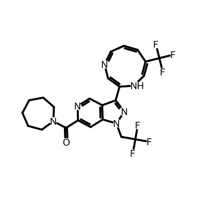 O=C(c1cc2c(cn1)c(-c1cncccc(C(F)(F)F)c[nH]1)nn2CC(F)(F)F)N1CCCCCC1